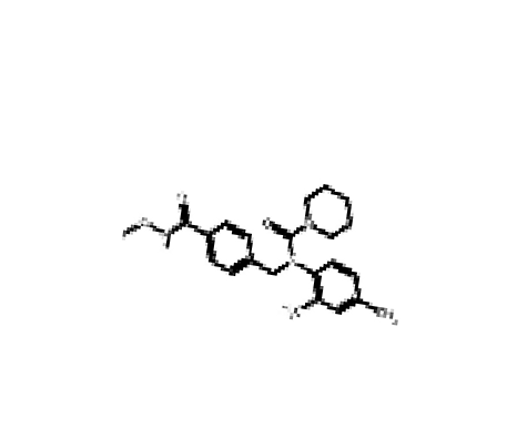 Cc1ccc(N(Cc2ccc(C(=O)NOI)cc2)C(=O)N2CCCCC2)c(C)c1